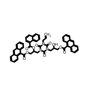 C=CCn1c(=O)n(CC(O)COC(=O)c2c3ccccc3cc3ccccc23)c(=O)n(CC(COC(=O)c2c3ccccc3cc3ccccc23)OC(=O)c2cccc3ccccc23)c1=O